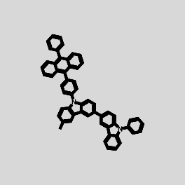 Cc1ccc2c(c1)c1cc(-c3ccc4c(c3)c3ccccc3n4-c3ccccc3)ccc1n2-c1ccc(-c2c3ccccc3c(-c3ccccc3)c3ccccc23)cc1